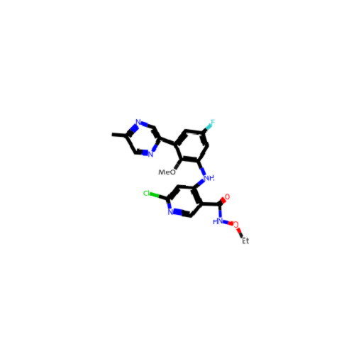 CCONC(=O)c1cnc(Cl)cc1Nc1cc(F)cc(-c2cnc(C)cn2)c1OC